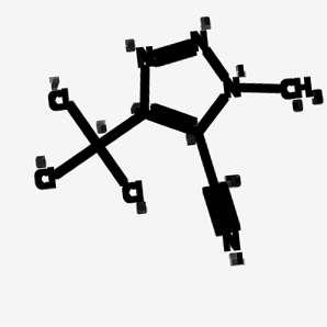 Cn1nnc(C(Cl)(Cl)Cl)c1C#N